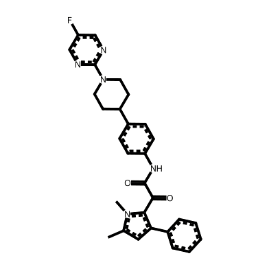 Cc1cc(-c2ccccc2)c(C(=O)C(=O)Nc2ccc(C3CCN(c4ncc(F)cn4)CC3)cc2)n1C